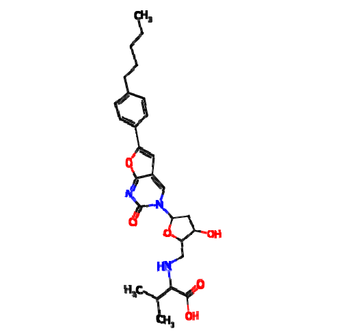 CCCCCc1ccc(-c2cc3cn(C4CC(O)C(CNC(C(=O)O)C(C)C)O4)c(=O)nc3o2)cc1